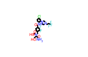 NC(=O)C(CO)N(Cc1ccc(C(=O)Nc2ccc(Cl)cc2N2CCN(CCC(F)(F)F)CC2)c(F)c1F)C(=O)O